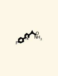 NC(=O)C1CC1c1ccc(-c2ccc(F)cc2)nc1